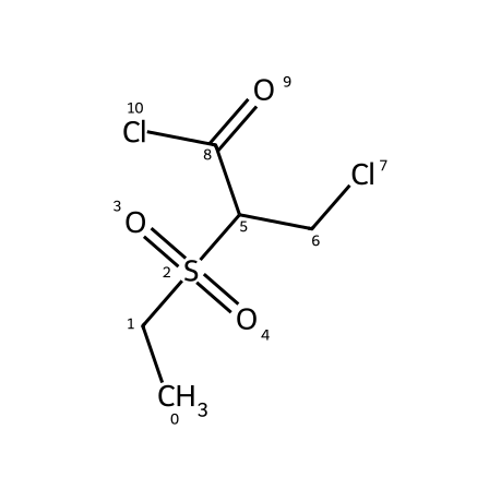 CCS(=O)(=O)C(CCl)C(=O)Cl